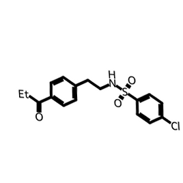 CCC(=O)c1ccc(CCNS(=O)(=O)c2ccc(Cl)cc2)cc1